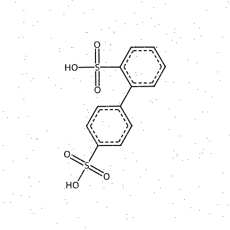 O=S(=O)(O)c1ccc(-c2cc[c]cc2S(=O)(=O)O)cc1